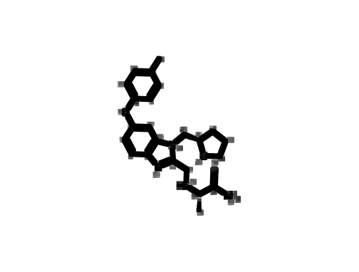 Cc1ccc(Oc2ccc3nc(CN[C@@H](C)C(N)=O)n(C[C@H]4CCCO4)c3c2)cc1